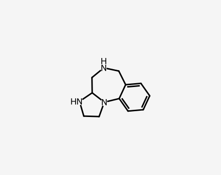 c1ccc2c(c1)CNCC1NCCN21